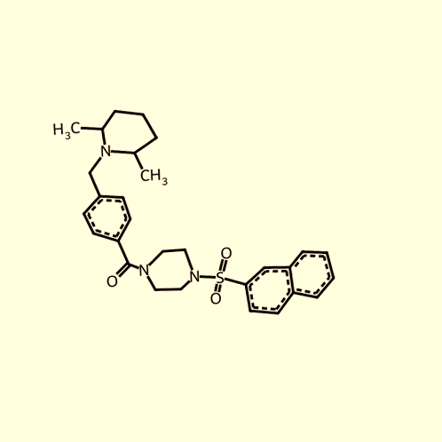 CC1CCCC(C)N1Cc1ccc(C(=O)N2CCN(S(=O)(=O)c3ccc4ccccc4c3)CC2)cc1